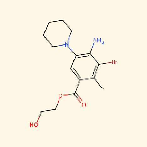 Cc1c(C(=O)OCCO)cc(N2CCCCC2)c(N)c1Br